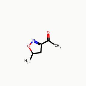 CC(=O)C1=NOC(C)C1